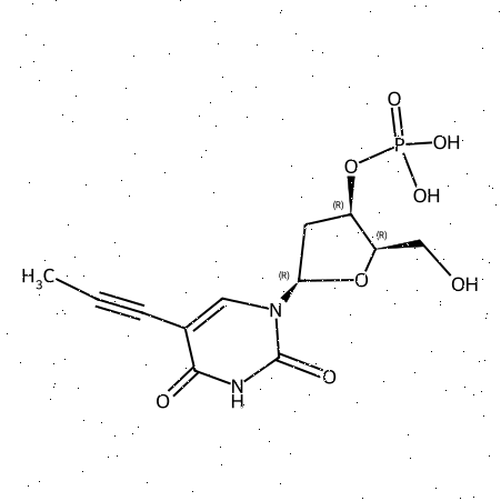 CC#Cc1cn([C@H]2C[C@@H](OP(=O)(O)O)[C@@H](CO)O2)c(=O)[nH]c1=O